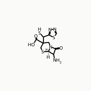 NC1C(=O)N2CC(C(=O)O)(C(S)c3nncs3)CS[C@H]12